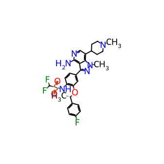 C[C@H](Oc1cc(-c2nn(C)c3c(C4CCN(C)CC4)cnc(N)c23)ccc1NS(=O)(=O)C(F)F)c1ccc(F)cc1